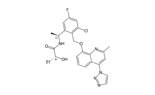 CC[C@@H](O)C(=O)N[C@@H](C)c1cc(F)cc(Cl)c1COc1cccc2c(-n3ccnn3)cc(C)nc12